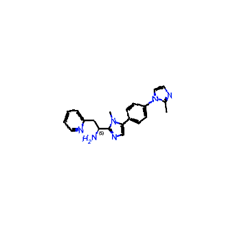 Cc1nccn1-c1ccc(-c2cnc([C@@H](N)Cc3ccccn3)n2C)cc1